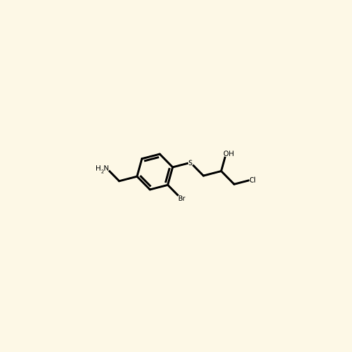 NCc1ccc(SCC(O)CCl)c(Br)c1